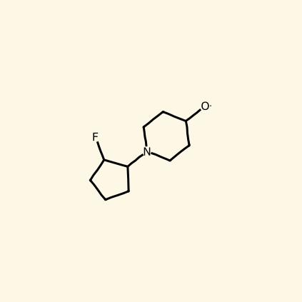 [O]C1CCN(C2CCCC2F)CC1